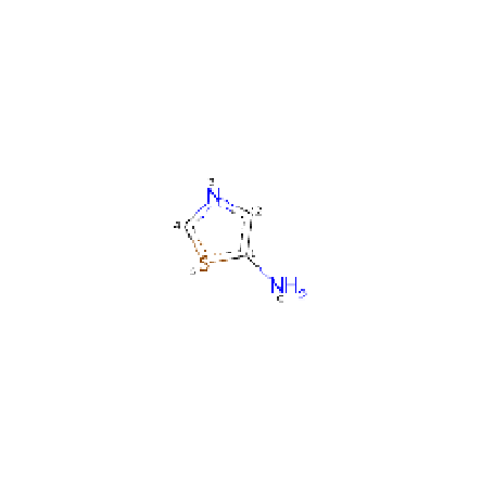 Nc1[c]ncs1